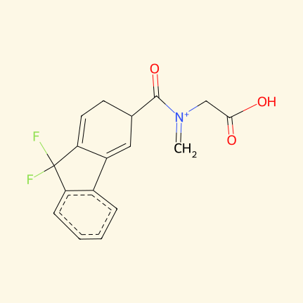 C=[N+](CC(=O)O)C(=O)C1C=C2C(=CC1)C(F)(F)c1ccccc12